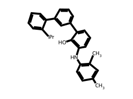 Cc1ccc(Nc2cccc(-c3cccc(-c4ccccc4C(C)C)c3)c2O)c(C)c1